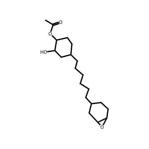 CC(=O)OC1CCC(CCCCCCC2CCC3OC3C2)CC1O